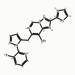 CCCc1c(Cc2ccnn2-c2ncccc2F)ncn2nc(-c3nccs3)nc12